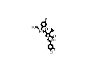 O=C(N[C@H](CCO)c1ccc(F)cc1)c1cn2nc(-c3ccc(Cl)c(F)c3)[nH]c(=O)c2c1C1CC1